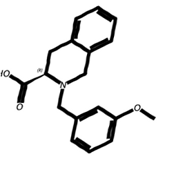 COc1cccc(CN2Cc3ccccc3C[C@@H]2C(=O)O)c1